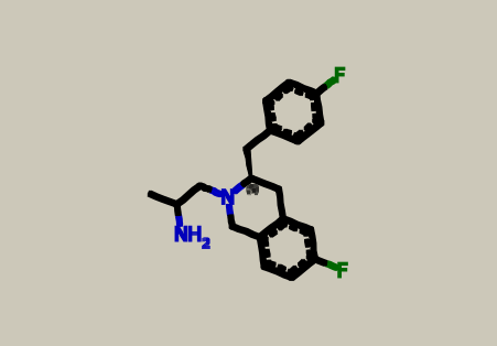 CC(N)CN1Cc2ccc(F)cc2C[C@@H]1Cc1ccc(F)cc1